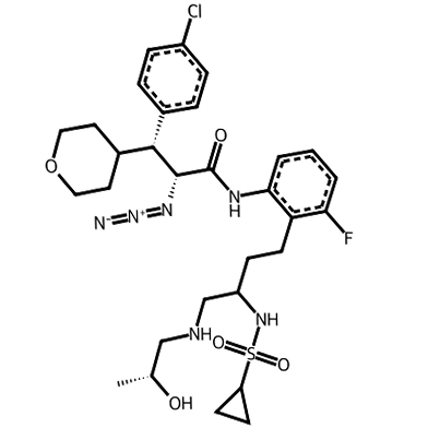 C[C@@H](O)CNCC(CCc1c(F)cccc1NC(=O)[C@H](N=[N+]=[N-])[C@@H](c1ccc(Cl)cc1)C1CCOCC1)NS(=O)(=O)C1CC1